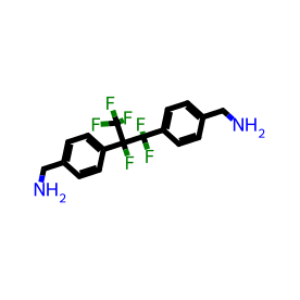 NCc1ccc(C(F)(F)C(F)(c2ccc(CN)cc2)C(F)(F)F)cc1